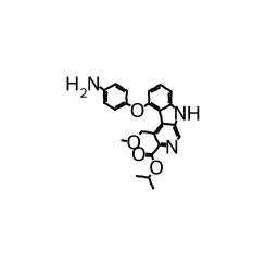 COCc1c(C(=O)OC(C)C)ncc2[nH]c3cccc(Oc4ccc(N)cc4)c3c12